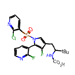 CC(C)(C)C(Cc1cn(S(=O)(=O)c2cccnc2Cl)c(-c2cccnc2F)c1F)NC(=O)O